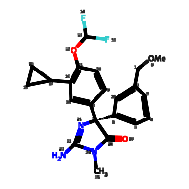 COCc1cccc([C@@]2(c3ccc(OC(F)F)c(C4CC4)c3)N=C(N)N(C)C2=O)c1